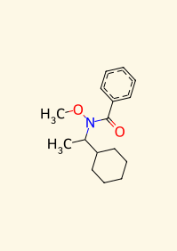 CON(C(=O)c1ccccc1)C(C)C1CCCCC1